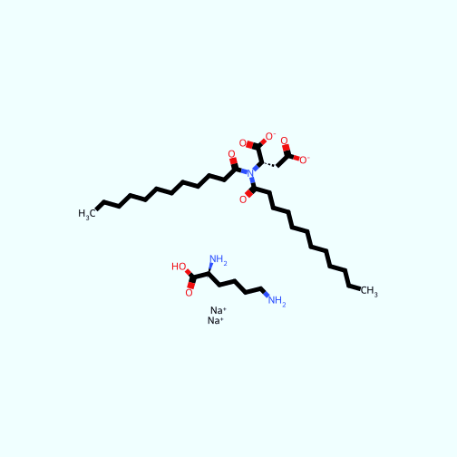 CCCCCCCCCCCC(=O)N(C(=O)CCCCCCCCCCC)[C@@H](CC(=O)[O-])C(=O)[O-].NCCCC[C@H](N)C(=O)O.[Na+].[Na+]